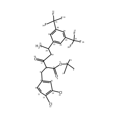 CC(C)(C)OC(=O)C(Cc1ccc(Cl)c(Cl)c1)C(=O)CC(N)c1cc(C(F)(F)F)cc(C(F)(F)F)c1